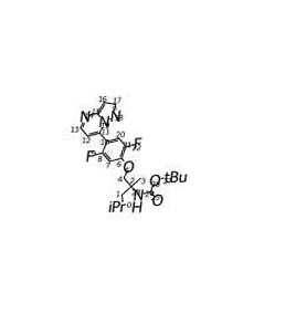 CC(C)CC(C)(COc1cc(F)c(-c2ccnc3ccnn23)cc1F)NC(=O)OC(C)(C)C